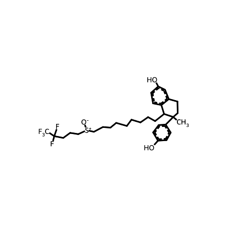 CC1(c2ccc(O)cc2)CCc2cc(O)ccc2C1CCCCCCCCC[S+]([O-])CCCC(F)(F)C(F)(F)F